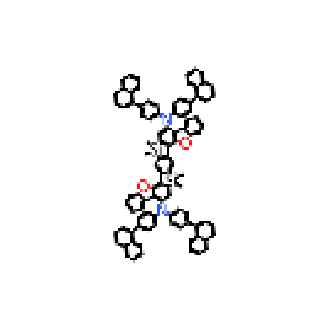 C[Si]1(C)c2cc3c(cc2-c2c1cc(N(c1ccc(-c4cccc5ccccc45)cc1)c1ccc(-c4cccc5ccccc45)cc1)c1c2oc2ccccc21)[Si](C)(C)c1cc(N(c2ccc(-c4cccc5ccccc45)cc2)c2ccc(-c4cccc5ccccc45)cc2)c2c(oc4ccccc42)c1-3